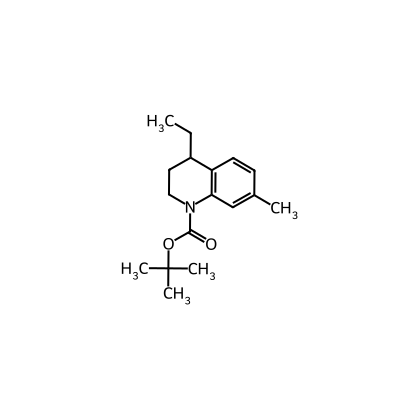 CCC1CCN(C(=O)OC(C)(C)C)c2cc(C)ccc21